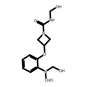 O=CN(CO)c1ccccc1OC1CN(C(=O)NCO)C1